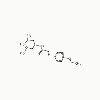 CCOc1ccc(/C=C/C(=O)N[C@@H](COC)CC(C)C)cc1